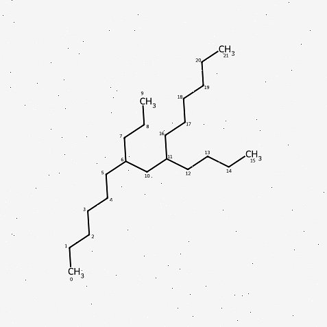 CCCCCCC(CCC)CC(CCCC)CCCCCC